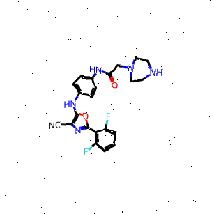 N#Cc1nc(-c2c(F)cccc2F)oc1Nc1ccc(NC(=O)CN2CCNCC2)cc1